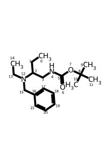 CCC(CNC(=O)OC(C)(C)C)N(CC)Cc1ccccc1